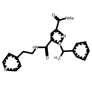 CNC(=O)c1cc(C(=O)NCCc2ccncc2)n(C(C)c2ccccc2)n1